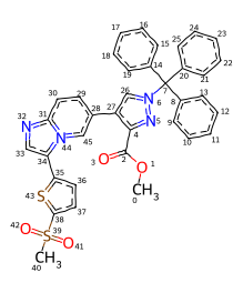 COC(=O)c1nn(C(c2ccccc2)(c2ccccc2)c2ccccc2)cc1-c1ccc2ncc(-c3ccc(S(C)(=O)=O)s3)n2c1